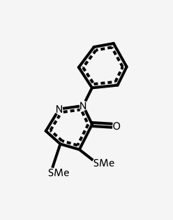 CSc1cnn(-c2ccccc2)c(=O)c1SC